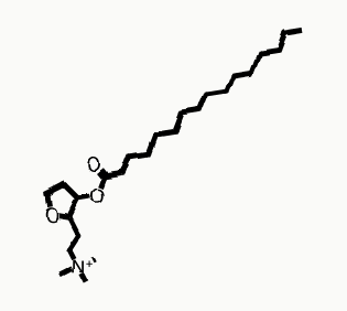 CCCCCCCCCCCCCCCC(=O)OC1CCOC1CC[N+](C)(C)C